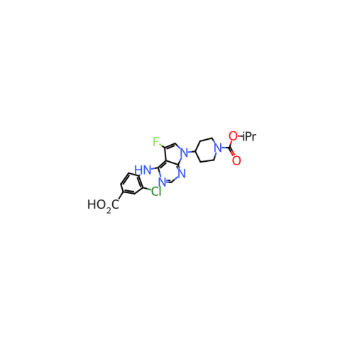 CC(C)OC(=O)N1CCC(n2cc(F)c3c(Nc4ccc(C(=O)O)cc4Cl)ncnc32)CC1